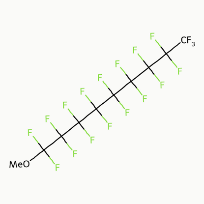 COC(F)(F)C(F)(F)C(F)(F)C(F)(F)C(F)(F)C(F)(F)C(F)(F)C(F)(F)C(F)(F)F